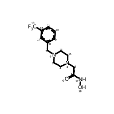 O=C(CN1CCN(Cc2cccc(C(F)(F)F)c2)CC1)NO